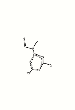 CN(C=O)c1nc(Cl)nc(Cl)n1